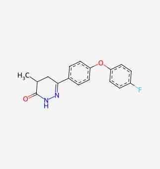 CC1CC(c2ccc(Oc3ccc(F)cc3)cc2)=NNC1=O